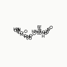 O=C(NC1(c2ccc(-c3nc4ccn5c(=O)[nH]nc5c4cc3-c3ccccc3)cc2)CCC1)OCc1ccc(NC(=O)[C@@H]2CC(F)(F)CN2C(=O)[C@@H]2C[C@@H](CC(=O)N3Cc4ccccc4C3)C(=O)N2)cc1